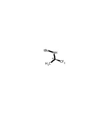 C[C@@H](NC(C)(C)C)C(F)(F)F